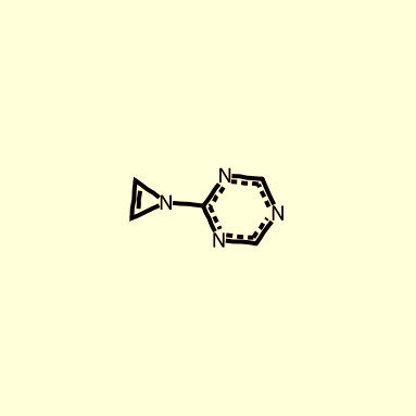 C1=CN1c1ncncn1